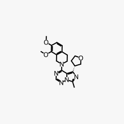 COc1ccc2c(c1OC)CN(c1ncnn3c(C)nc([C@@H]4CCOC4)c13)CC2